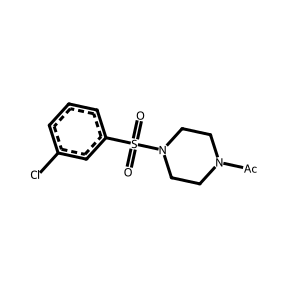 CC(=O)N1CCN(S(=O)(=O)c2cccc(Cl)c2)CC1